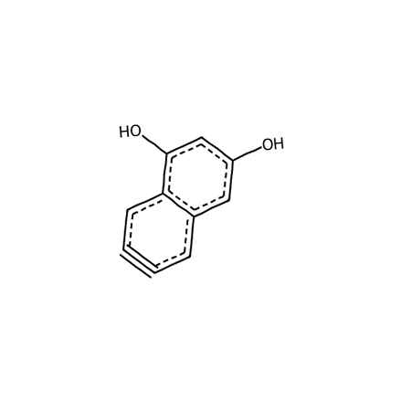 Oc1cc(O)c2cc#ccc2c1